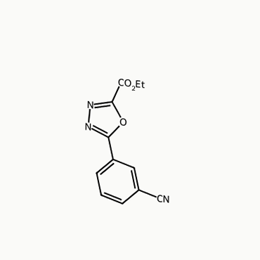 CCOC(=O)c1nnc(-c2cccc(C#N)c2)o1